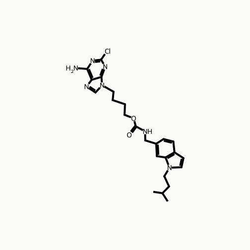 CC(C)CCn1ccc2ccc(CNC(=O)OCCCCn3cnc4c(N)nc(Cl)nc43)cc21